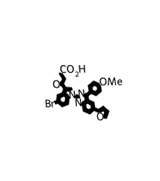 COc1ccc(-c2nc(-n3cc(C(=O)CCC(=O)O)c4cc(Br)ccc43)nc3ccc(-c4ccco4)cc23)cc1